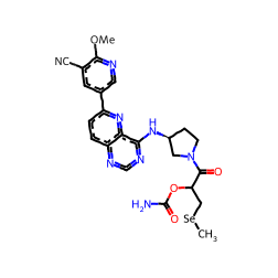 COc1ncc(-c2ccc3ncnc(N[C@H]4CCN(C(=O)C(C[Se]C)OC(N)=O)C4)c3n2)cc1C#N